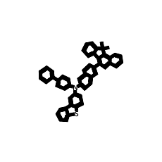 CC1(C)c2ccccc2-c2c(-c3ccc4cc(N(c5ccc(-c6ccccc6)cc5)c5ccc6sc7ccccc7c6c5)ccc4c3)cc3ccccc3c21